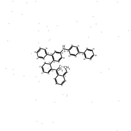 C/C=c1/cccc/c1=C(/C)C1=CC=CCC1c1ccc(Nc2ccc(-c3ccccc3)cc2)cc1-c1ccccc1